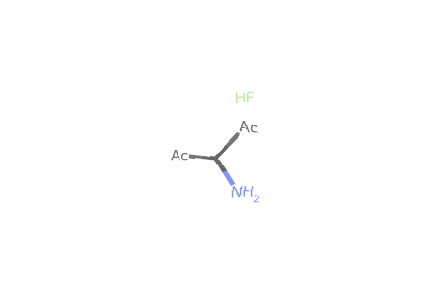 CC(=O)C(N)C(C)=O.F